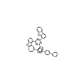 C1=CC(c2ccc(-c3ccc(-c4ccccc4)cc3)cc2)=Cc2c(oc3cccc(-c4nc(-c5ccccc5)nc(-c5cccc6c5oc5ccccc56)n4)c23)C1